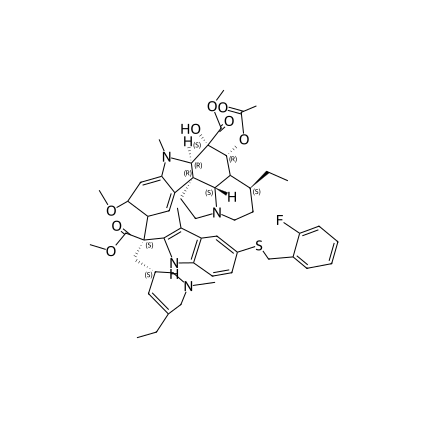 CCC1=C[C@H](C[C@@](C(=O)OC)(c2[nH]c3ccc(SCc4ccccc4F)cc3c2C)C2C=C3C(=CC2OC)N(C)[C@H]2[C@@](O)(C(=O)OC)[C@H](OC(C)=O)C4[C@@H](CC)CCN5CC[C@]32[C@H]45)CN(C)C1